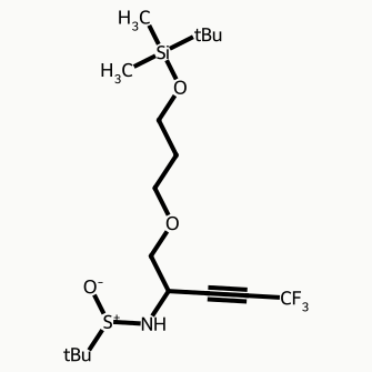 CC(C)(C)[S+]([O-])NC(C#CC(F)(F)F)COCCCO[Si](C)(C)C(C)(C)C